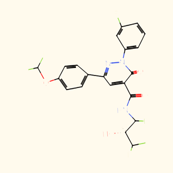 O=C(NC(F)[C@@H](O)C(F)F)c1cc(-c2ccc(OC(F)F)cc2)nn(-c2cccc(F)c2)c1=O